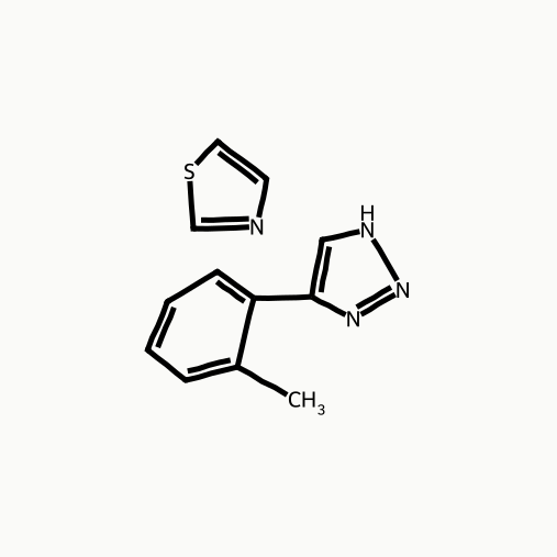 Cc1ccccc1-c1c[nH]nn1.c1cscn1